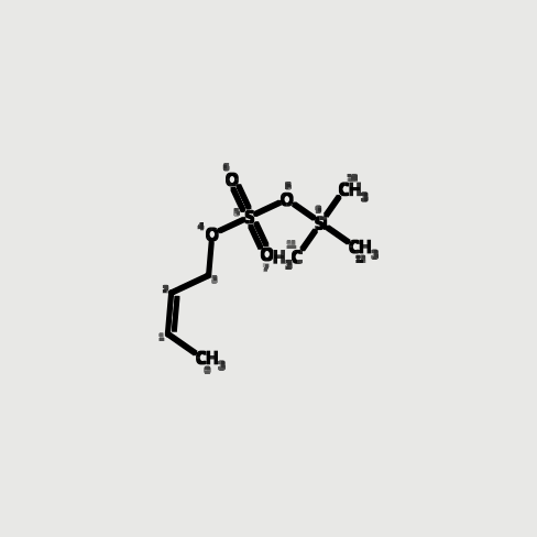 C/C=C\COS(=O)(=O)O[Si](C)(C)C